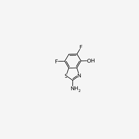 Nc1nc2c(O)c(F)cc(F)c2s1